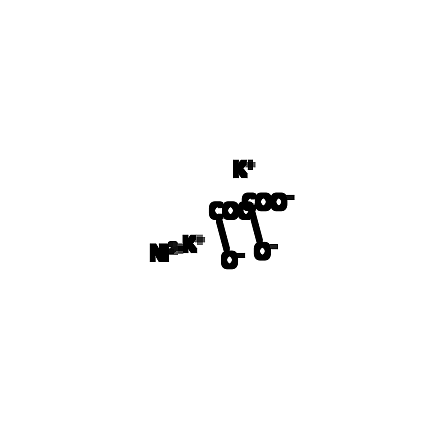 O=C([O-])[O-].O=C([O-])[O-].[K+].[K+].[Ni+2]